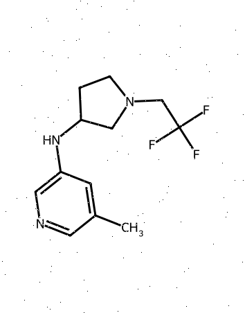 Cc1cncc(NC2CCN(CC(F)(F)F)C2)c1